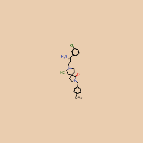 COc1ccc(CN2CCC3(CCN(CC[C@H](N)c4cccc(Cl)c4)CC3)C2=O)cc1.Cl